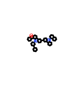 c1ccc(-c2cccc(-n3c4ccc(-c5ccc6c(c5)c5ccccc5n6-c5cccc6ccccc56)cc4c4ccc5oc6ccccc6c5c43)c2)cc1